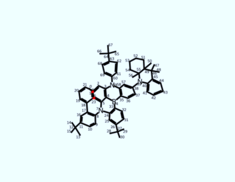 Cc1cc2c3c(c1)N(c1ccc(C(C)(C)C)cc1-c1ccccc1)c1cc(C(C)(C)C)ccc1B3c1ccc(N3c4ccccc4C(C)(C)C4(C)CCCCC34C)cc1N2c1ccc(C(C)(C)C)cc1